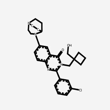 O=c1c2cc(N3CCN4CCC3CC4)ccc2nc(-c2cccc(Cl)c2)n1CC1(CO)CCC1